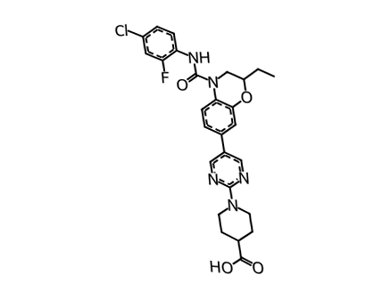 CCC1CN(C(=O)Nc2ccc(Cl)cc2F)c2ccc(-c3cnc(N4CCC(C(=O)O)CC4)nc3)cc2O1